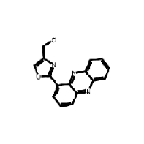 ClCc1coc(-c2cccc3nc4ccccc4nc23)n1